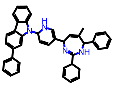 CC1=CC(C2=CNC(n3c4ccccc4c4ccc(-c5ccccc5)cc43)C=C2)N=C(C2C=CC=CC2)NC1c1ccccc1